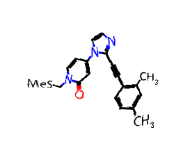 CSCn1ccc(-n2ccnc2C#Cc2ccc(C)cc2C)cc1=O